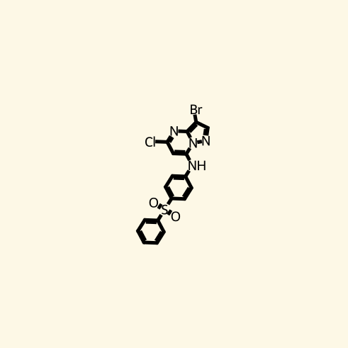 O=S(=O)(c1ccccc1)c1ccc(Nc2cc(Cl)nc3c(Br)cnn23)cc1